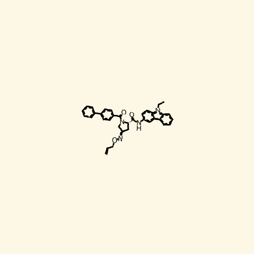 C=CCON=C1C[C@@H](C(=O)Nc2ccc3c(c2)c2ccccc2n3CC)N(C(=O)c2ccc(-c3ccccc3)cc2)C1